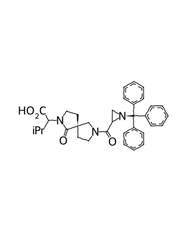 CC(C)C(C(=O)O)N1CC[C@@]2(CCN(C(=O)C3C[N@@]3C(c3ccccc3)(c3ccccc3)c3ccccc3)C2)C1=O